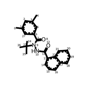 Cc1cc(C)cc(C(=O)N(NC(=O)c2cccc3ccccc23)C(C)(C)C)c1